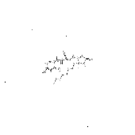 CCCCCCCCC1(C)SC(=O)C=C1OCC(=O)NNc1ccc(Cl)cc1Cl